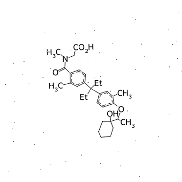 CCC(CC)(c1ccc(OC(C)C2(O)CCCCC2)c(C)c1)c1ccc(C(=O)N(C)CC(=O)O)c(C)c1